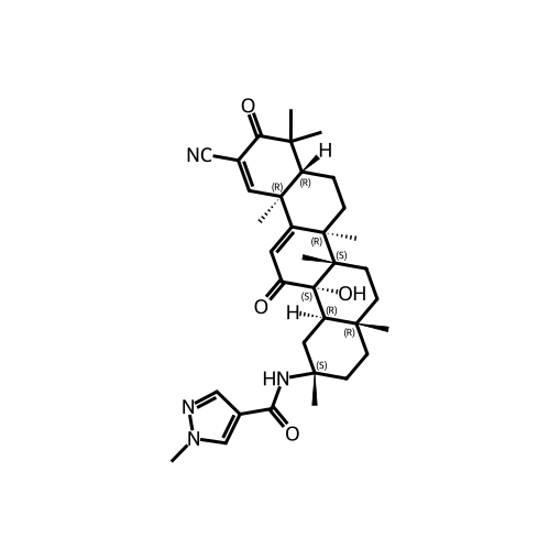 Cn1cc(C(=O)N[C@@]2(C)CC[C@@]3(C)CC[C@@]4(C)[C@]5(C)CC[C@H]6C(C)(C)C(=O)C(C#N)=C[C@]6(C)C5=CC(=O)[C@]4(O)[C@@H]3C2)cn1